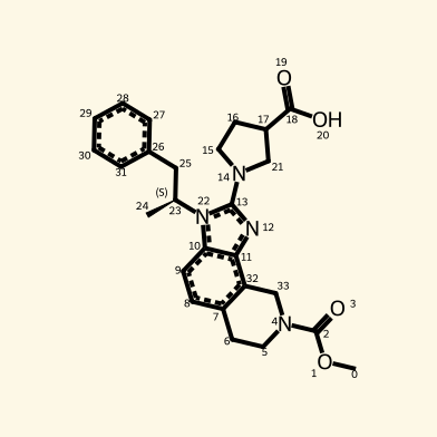 COC(=O)N1CCc2ccc3c(nc(N4CCC(C(=O)O)C4)n3[C@@H](C)Cc3ccccc3)c2C1